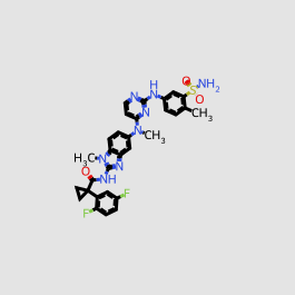 Cc1ccc(Nc2nccc(N(C)c3ccc4c(c3)nc(NC(=O)C3(c5cc(F)ccc5F)CC3)n4C)n2)cc1S(N)(=O)=O